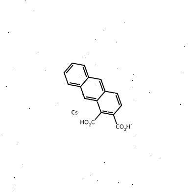 O=C(O)c1ccc2cc3ccccc3cc2c1C(=O)O.[Cs]